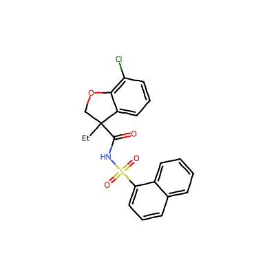 CCC1(C(=O)NS(=O)(=O)c2cccc3ccccc23)COc2c(Cl)cccc21